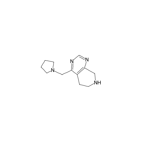 c1nc2c(c(CN3CCCC3)n1)CCNC2